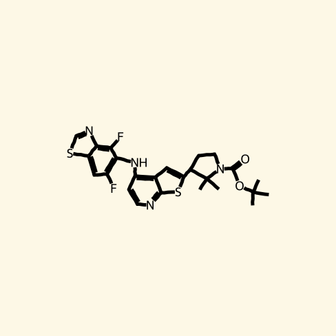 CC(C)(C)OC(=O)N1CCC(c2cc3c(Nc4c(F)cc5scnc5c4F)ccnc3s2)C1(C)C